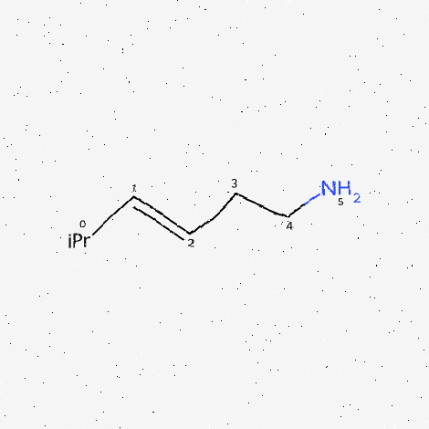 CC(C)C=CCCN